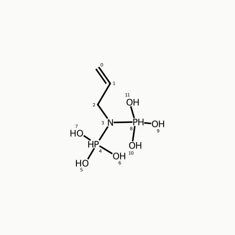 C=CCN([PH](O)(O)O)[PH](O)(O)O